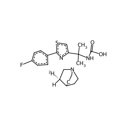 CC(C)(NC(=O)O)c1csc(-c2ccc(F)cc2)n1.[2H][C@@H]1CN2CCC1CC2